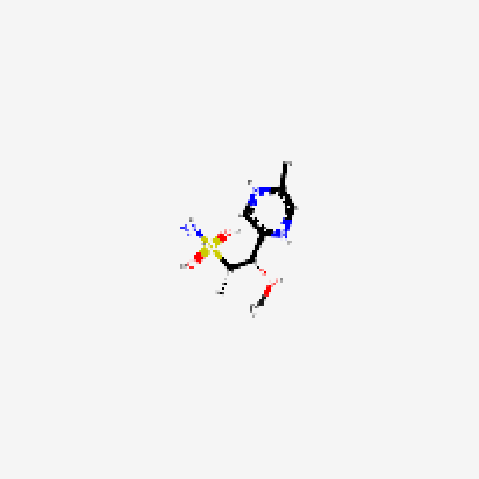 Cc1cnc([C@H](OC(C)C)[C@H](C)S(N)(=O)=O)cn1